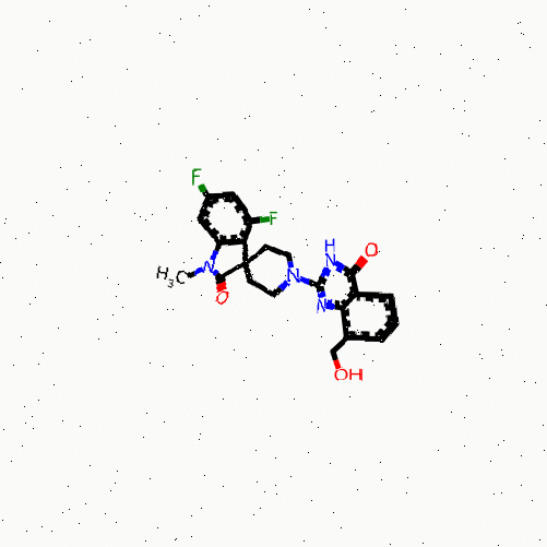 CN1C(=O)C2(CCN(c3nc4c(CO)cccc4c(=O)[nH]3)CC2)c2c(F)cc(F)cc21